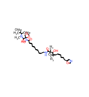 COC(C)C(OC)N(C)C(=O)C1(N(O)C(=O)/C=C/C=C/C=C/C=C\CNC(=O)C(C)(C)C(O)\C(C)=C/C=C\C=C\Cc2cnco2)COCO1